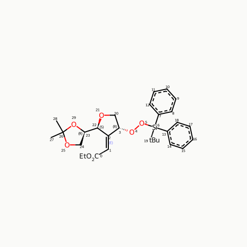 CCOC(=O)/C=C1/[C@@H](OO[Si](c2ccccc2)(c2ccccc2)C(C)(C)C)CO[C@@H]1[C@H]1COC(C)(C)O1